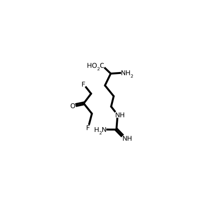 N=C(N)NCCCC(N)C(=O)O.O=C(CF)CF